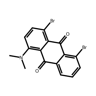 CN(C)c1ccc(Br)c2c1C(=O)c1cccc(Br)c1C2=O